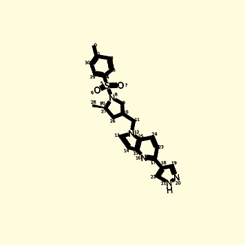 Cc1ccc(S(=O)(=O)N2CC(Cn3ccc4nc(-c5cn[nH]c5)ccc43)C[C@H]2C)cc1